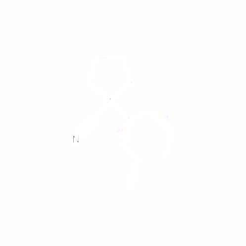 C=C/C=C(\C=C/C)C1(C#N)CCCC1